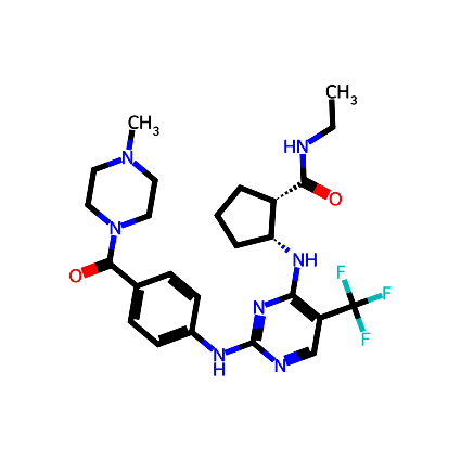 CCNC(=O)[C@H]1CCC[C@H]1Nc1nc(Nc2ccc(C(=O)N3CCN(C)CC3)cc2)ncc1C(F)(F)F